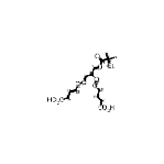 CCC(C)(C)C(=O)OCC(COOCCCC(=O)O)OOCCCC(=O)O